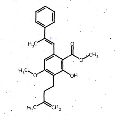 C=C(C)CCc1c(OC)cc(/C=C(\C)c2ccccc2)c(C(=O)OC)c1O